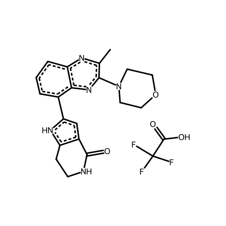 Cc1nc2cccc(-c3cc4c([nH]3)CCNC4=O)c2nc1N1CCOCC1.O=C(O)C(F)(F)F